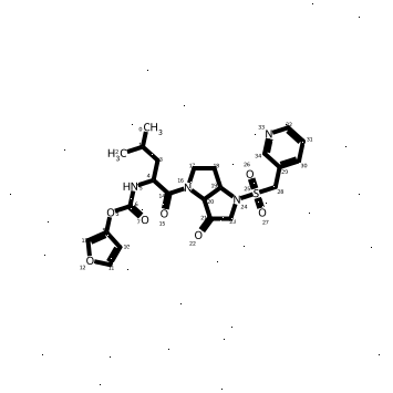 CC(C)CC(NC(=O)Oc1ccoc1)C(=O)N1CCC2C1C(=O)CN2S(=O)(=O)Cc1cccnc1